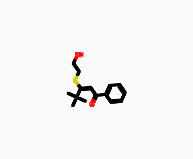 C[Si](C)(C)/C(=C\C(=O)c1ccccc1)SCCO